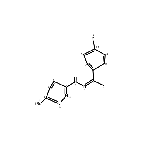 CC(=NNc1ccc(C(C)(C)C)nn1)c1ccc(Cl)cc1